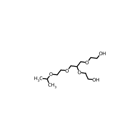 CC(C)OCCOCC(COCCO)OCCO